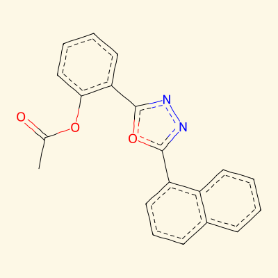 CC(=O)Oc1ccccc1-c1nnc(-c2cccc3ccccc23)o1